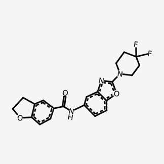 O=C(Nc1ccc2oc(N3CCC(F)(F)CC3)nc2c1)c1ccc2c(c1)CCO2